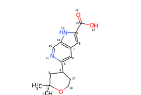 CC1(C)CC(c2cc3cc(C(=O)O)[nH]c3cn2)CCO1